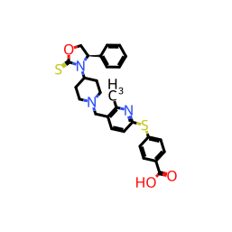 Cc1nc(Sc2ccc(C(=O)O)cc2)ccc1CN1CCC(N2C(=S)OC[C@H]2c2ccccc2)CC1